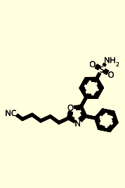 N#CCCCCCc1nc(-c2ccccc2)c(-c2ccc(S(N)(=O)=O)cc2)o1